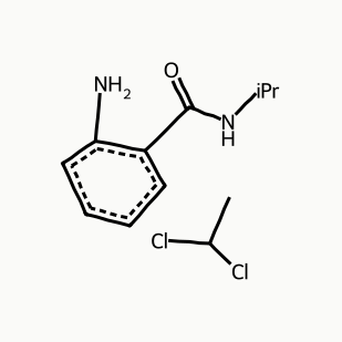 CC(C)NC(=O)c1ccccc1N.CC(Cl)Cl